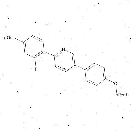 CCCCCCCCc1ccc(-c2ccc(-c3ccc(OCCCCC)cc3)cn2)c(F)c1